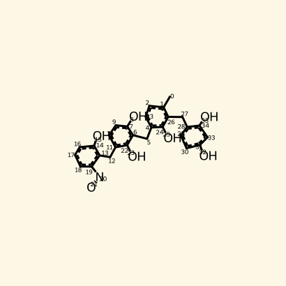 Cc1ccc(Cc2c(O)ccc(Cc3c(O)cccc3N=O)c2O)c(O)c1Cc1ccc(O)cc1O